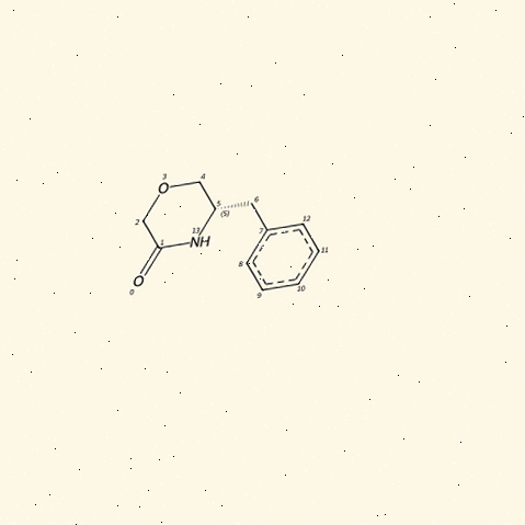 O=C1COC[C@H](Cc2ccccc2)N1